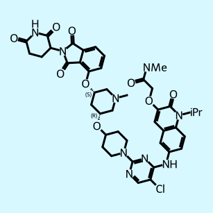 CNC(=O)COc1cc2cc(Nc3nc(N4CCC(O[C@@H]5C[C@H](Oc6cccc7c6C(=O)N(C6CCC(=O)NC6=O)C7=O)CN(C)C5)CC4)ncc3Cl)ccc2n(C(C)C)c1=O